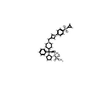 CN([C@@H]1CCC[C@H]1C(C#N)(c1ccccc1)C1CCN(CC2CN(c3ccc(S(=O)(=O)C4CC4)cc3)C2)CC1)S(C)(=O)=O